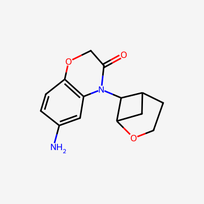 Nc1ccc2c(c1)N(C1C3CCOC1C3)C(=O)CO2